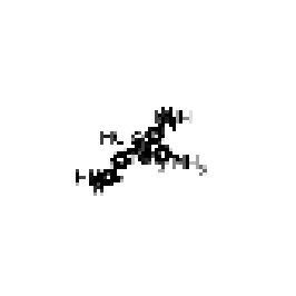 Cc1cc2nc[nH]c2cc1-c1ccc(C[C@H](N)C(=O)N(c2ccc(-c3nn[nH]n3)cc2)C(=O)[C@H]2CC[C@H](CN)CC2)cc1.Cl